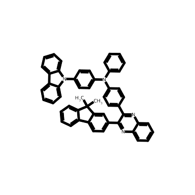 CC1(C)c2ccccc2-c2ccc(-c3nc4ccccc4nc3-c3ccc(N(c4ccccc4)c4ccc(-n5c6ccccc6c6ccccc65)cc4)cc3)cc21